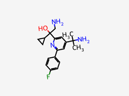 CC(C)(N)c1cc(-c2ccc(F)cc2)nc(C(O)(CN)C2CC2)c1